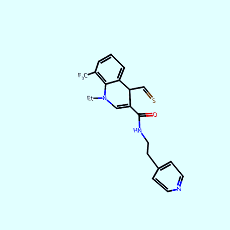 CCN1C=C(C(=O)NCCc2ccncc2)C(C=S)c2cccc(C(F)(F)F)c21